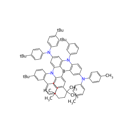 Cc1ccc(N(c2ccc(C)cc2)c2ccc3c(c2)B2c4cc5c(cc4N(c4ccc(C(C)(C)C)cc4-c4ccccc4)c4cc(N(c6ccc(C(C)(C)C)cc6)c6ccc(C(C)(C)C)cc6)cc(c42)N3c2cccc(C(C)(C)C)c2)C(C)(C)CCC5(C)C)cc1